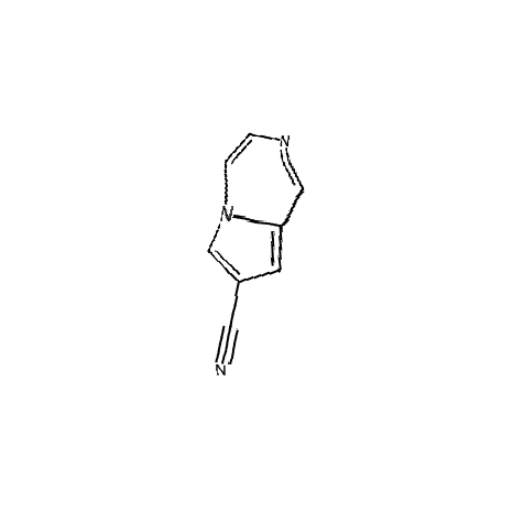 N#Cc1cc2cnccn2c1